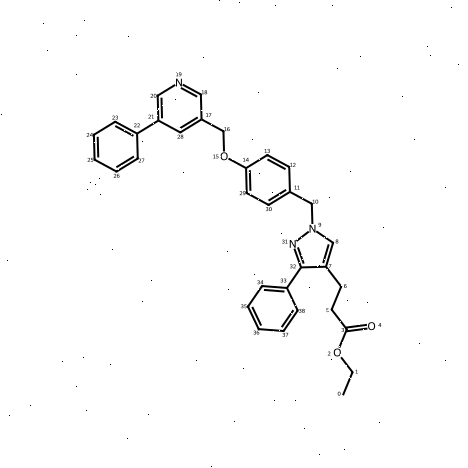 CCOC(=O)CCc1cn(Cc2ccc(OCc3cncc(-c4ccccc4)c3)cc2)nc1-c1ccccc1